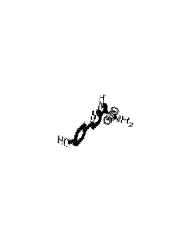 C#Cc1ccc(-c2ccc3c(S(N)(=O)=O)c[nH]c3n2)cc1